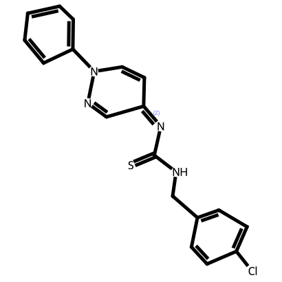 S=C(/N=c1/ccn(-c2ccccc2)nc1)NCc1ccc(Cl)cc1